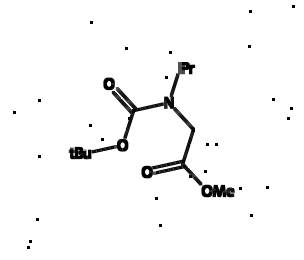 COC(=O)CN(C(=O)OC(C)(C)C)C(C)C